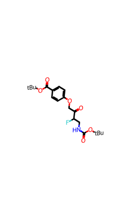 CC(C)(C)OC(=O)NCC(F)C(=O)COc1ccc(C(=O)OC(C)(C)C)cc1